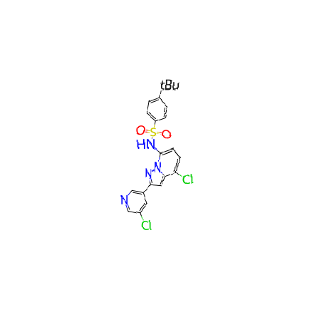 CC(C)(C)c1ccc(S(=O)(=O)Nc2ccc(Cl)c3cc(-c4cncc(Cl)c4)nn23)cc1